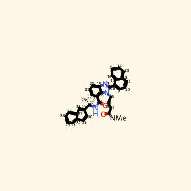 CNC(=O)CCCn1c(-c2cccc3ccccc23)nc2cccc(C(=O)N[C@@H](C)c3ccc4ccccc4c3)c21